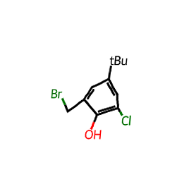 CC(C)(C)c1cc(Cl)c(O)c(CBr)c1